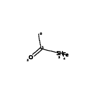 CC(=O)S.[Fe]